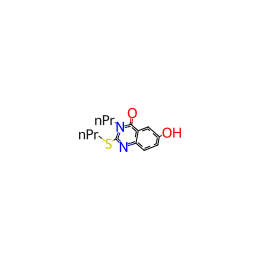 CCCSc1nc2ccc(O)cc2c(=O)n1CCC